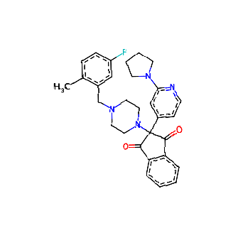 Cc1ccc(F)cc1CN1CCN(C2(c3ccnc(N4CCCC4)c3)C(=O)c3ccccc3C2=O)CC1